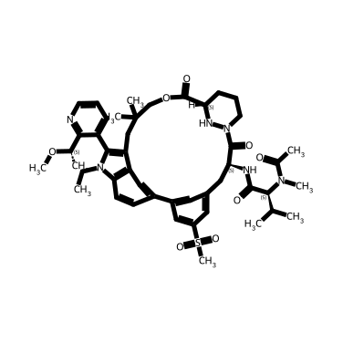 CCn1c(-c2cccnc2[C@H](C)OC)c2c3cc(ccc31)-c1cc(cc(S(C)(=O)=O)c1)C[C@H](NC(=O)[C@H](C(C)C)N(C)C(C)=O)C(=O)N1CCC[C@H](N1)C(=O)OCC(C)(C)C2